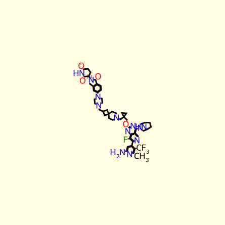 Cc1nc(N)cc(-c2ncc3c(N4CC5CCC(C4)N5)nc(OCC4(CN5CCC6(CC5)CC(CN5CCN(c7ccc8c(c7)CN([C@H]7CCC(=O)NC7=O)C8=O)CC5)C6)CC4)nc3c2F)c1C(F)(F)F